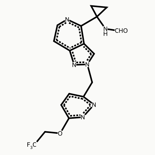 O=CNC1(c2nccc3nn(Cc4ccc(OCC(F)(F)F)nn4)cc23)CC1